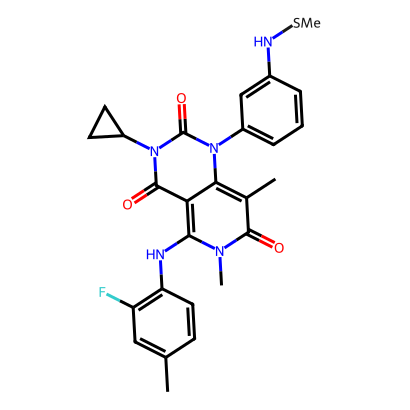 CSNc1cccc(-n2c(=O)n(C3CC3)c(=O)c3c(Nc4ccc(C)cc4F)n(C)c(=O)c(C)c32)c1